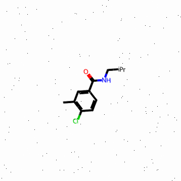 Cc1cc(C(=O)NCC(C)C)ccc1Cl